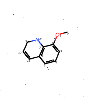 COc1cccc2c1[N]CC=C2